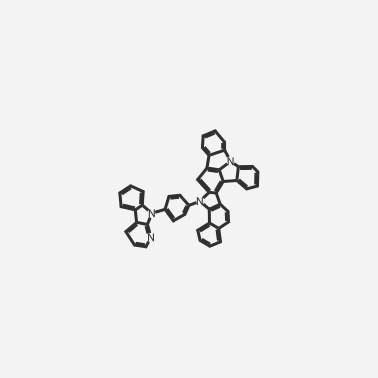 c1ccc2c(c1)ccc1c3c4c5ccccc5n5c6ccccc6c(cc3n(-c3ccc(-n6c7ccccc7c7cccnc76)cc3)c21)c45